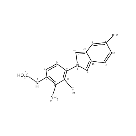 Nc1c(NC(=O)O)ccc(-n2cc3ccc(F)cc3c2)c1F